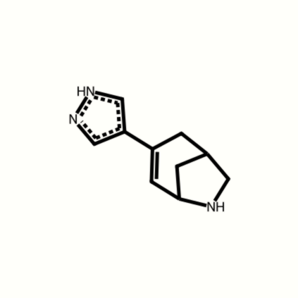 C1=C(c2cn[nH]c2)CC2CNC1C2